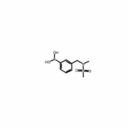 CN(Cc1cccc(B(O)O)c1)S(C)(=O)=O